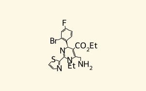 CCOC(=O)C1=C(CN)N(CC)C(c2nccs2)=N[C@H]1c1ccc(F)cc1Br